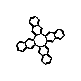 c1ccc2cc3c(cc2c1)-c1cc2ccccc2cc1-c1cc2ccccc2cc1-c1cc2ccccc2cc1-3